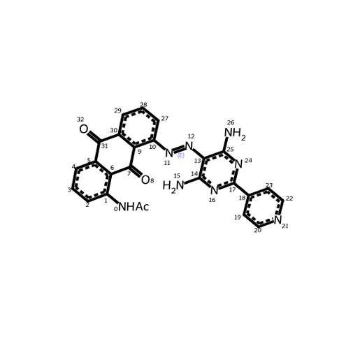 CC(=O)Nc1cccc2c1C(=O)c1c(/N=N/c3c(N)nc(-c4ccncc4)nc3N)cccc1C2=O